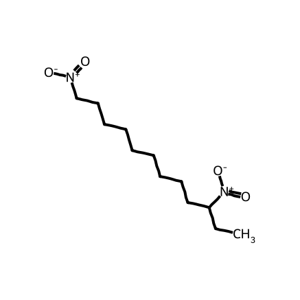 CCC(CCCCCCCCC[N+](=O)[O-])[N+](=O)[O-]